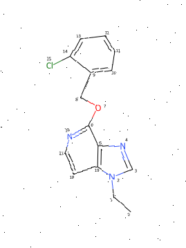 CCn1cnc2c(OCc3ccccc3Cl)nccc21